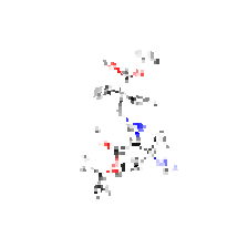 COC(=O)C(C)(C)CNC(C(=O)OC(C)C)C(C)(C)N